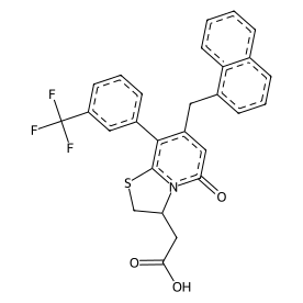 O=C(O)CC1CSc2c(-c3cccc(C(F)(F)F)c3)c(Cc3cccc4ccccc34)cc(=O)n21